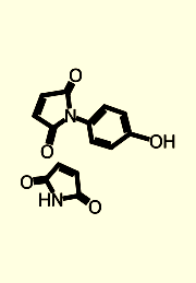 O=C1C=CC(=O)N1.O=C1C=CC(=O)N1c1ccc(O)cc1